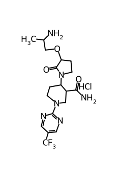 CC(N)COC1CCN(C2CCN(c3ncc(C(F)(F)F)cn3)CC2C(N)=O)C1=O.Cl